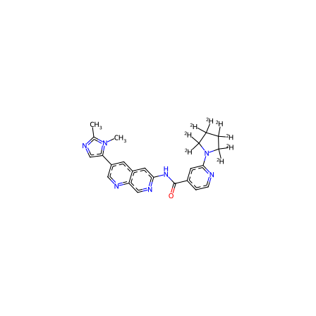 [2H]C1([2H])N(c2cc(C(=O)Nc3cc4cc(-c5cnc(C)n5C)cnc4cn3)ccn2)C([2H])([2H])C([2H])([2H])C1([2H])[2H]